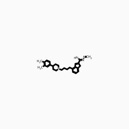 C=N/N=C(\CCC)C1=Cc2c(CCCCN3CCC(c4ccc(C)c(C)c4)CC3)cccc2C1